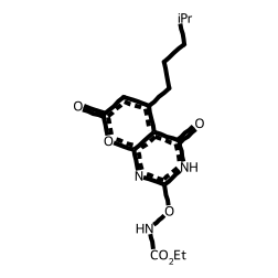 CCOC(=O)NOc1nc2oc(=O)cc(CCCC(C)C)c2c(=O)[nH]1